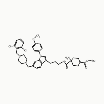 CC(C)(C)OC(=O)N1CCC(N)(C(=O)NCCCc2cn(-c3ccc(OC(F)(F)F)cc3)c3cc(CN4CCN(Cc5c(Cl)cccc5Cl)CC4)ccc23)CC1